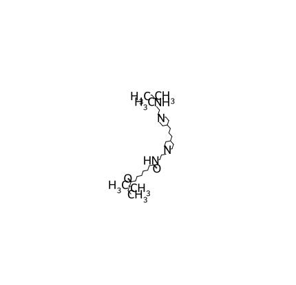 CCC(C)(C)NCCCN1CCC(CCCC2CCN(CCCNC(=O)CCCCCCC(=O)C(C)(C)CC)CC2)CC1